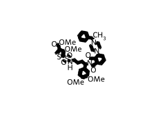 COC(=O)c1csc(S(=O)(=O)NCCCC(c2ccc(OC)c(OC)c2)N2C(=O)c3cccc(N4CCN(C(C)c5ccccc5)CC4)c3C2=O)c1OC